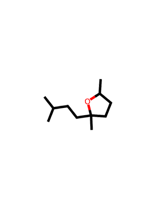 CC(C)CCC1(C)CCC(C)O1